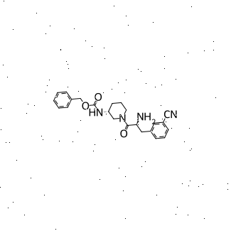 N#Cc1cccc(C[C@H](N)C(=O)N2CCC[C@@H](NC(=O)OCc3ccccc3)C2)c1